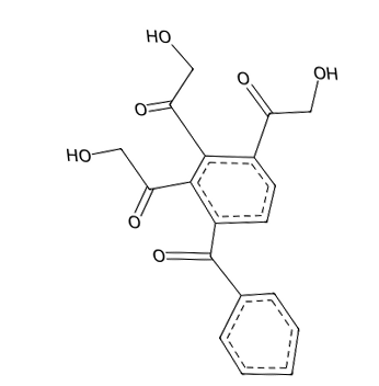 O=C(CO)c1ccc(C(=O)c2ccccc2)c(C(=O)CO)c1C(=O)CO